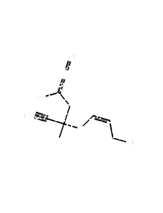 C#CC(C)(CC(O)=C=C)S/C=C\CC